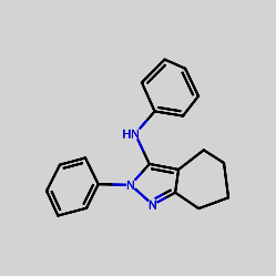 c1ccc(Nc2c3c(nn2-c2ccccc2)CCCC3)cc1